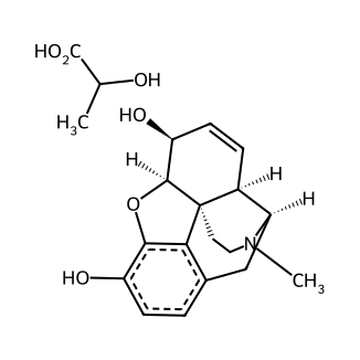 CC(O)C(=O)O.CN1CC[C@]23c4c5ccc(O)c4O[C@H]2[C@@H](O)C=C[C@H]3[C@H]1C5